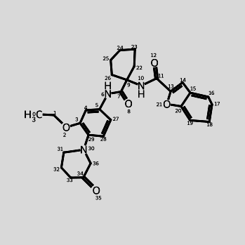 CCOc1cc(NC(=O)C2(NC(=O)c3cc4ccccc4o3)CCCCC2)ccc1N1CCCC(=O)C1